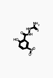 NC(=S)NNC(=O)c1cc([N+](=O)[O-])ccc1O